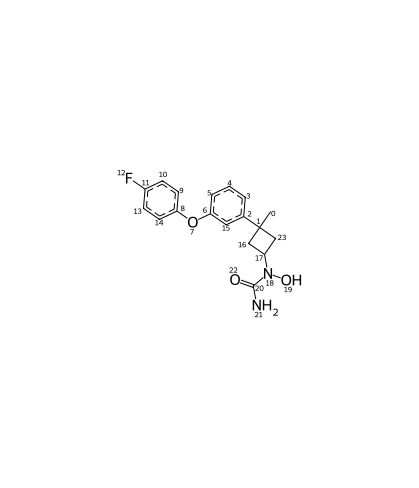 CC1(c2cccc(Oc3ccc(F)cc3)c2)CC(N(O)C(N)=O)C1